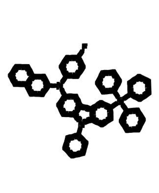 Fc1ccc(N(c2ccc3ccccc3c2)c2ccc3c(c2)c2cc([Si](c4ccccc4)(c4ccccc4)c4ccccc4)ccc2n3-c2ccccc2)cc1